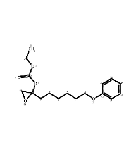 CCOC(=O)OC1(CCCCCCOc2ccccc2)CO1